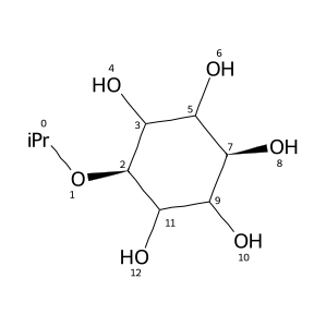 CC(C)O[C@H]1C(O)C(O)[C@@H](O)C(O)C1O